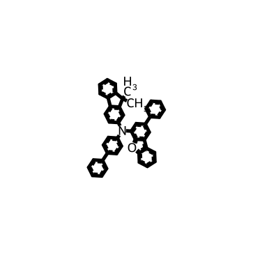 CC1(C)c2ccccc2-c2ccc(N(c3ccc(-c4ccccc4)cc3)c3cc(-c4ccccc4)cc4c3oc3ccccc34)cc21